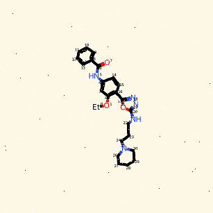 CCOc1cc(NC(=O)c2ccccc2)ccc1-c1nnc(NCCCN2CCCCC2)o1